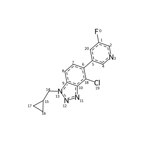 Fc1cncc(-c2ccc3c(nnn3CC3CC3)c2Cl)c1